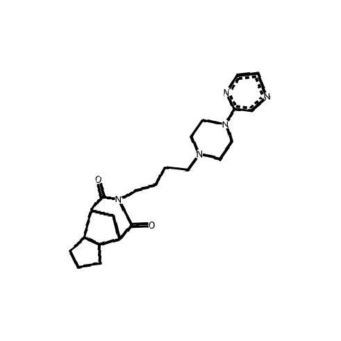 O=C1C2CC(C(=O)N1CCCCN1CCN(c3cnccn3)CC1)C1CCCC21